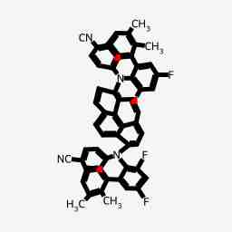 [C-]#[N+]c1ccc(N(c2c(F)cc(F)cc2-c2cccc(C)c2C)c2ccc3ccc4c(N(c5ccc(C#N)cc5)c5c(F)cc(F)cc5-c5cccc(C)c5C)ccc5ccc2c3c54)cc1